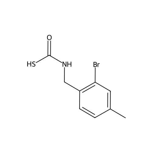 Cc1ccc(CNC(=O)S)c(Br)c1